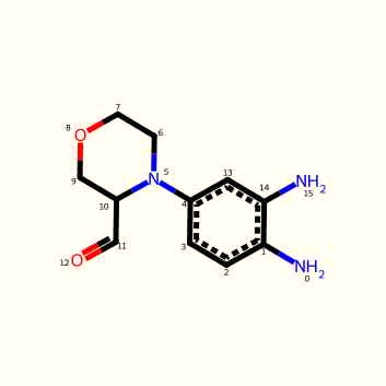 Nc1ccc(N2CCOCC2C=O)cc1N